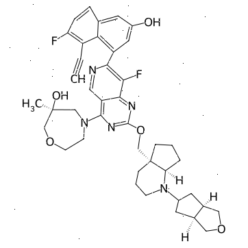 C#Cc1c(F)ccc2cc(O)cc(-c3ncc4c(N5CCOC[C@@](C)(O)C5)nc(OC[C@]56CCC[C@H]5N(C5C[C@H]7COC[C@H]7C5)CCC6)nc4c3F)c12